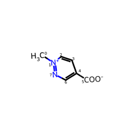 C[n+]1ccc(C(=O)[O-])cn1